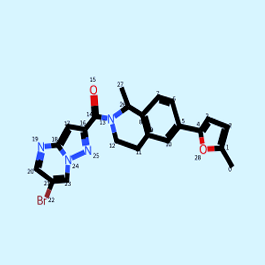 Cc1ccc(-c2ccc3c(c2)CCN(C(=O)c2cc4ncc(Br)cn4n2)C3C)o1